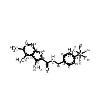 Cc1nnc2sc(C(=O)NCc3ccc(S(C)(F)(F)(F)F)cc3)c(N)c2c1C